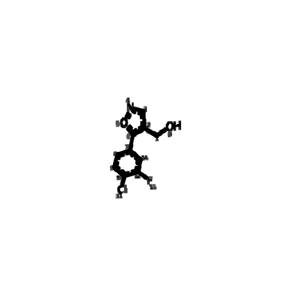 OCc1cnoc1-c1ccc(Cl)c(F)c1